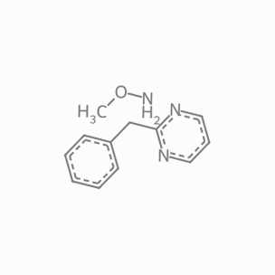 CON.c1ccc(Cc2ncccn2)cc1